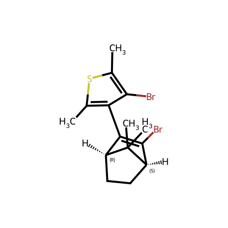 Cc1sc(C)c(C2=C(Br)[C@H]3CC[C@@H]2C3(C)C)c1Br